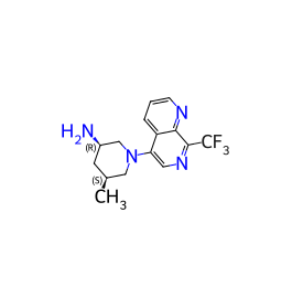 C[C@H]1C[C@@H](N)CN(c2cnc(C(F)(F)F)c3ncccc23)C1